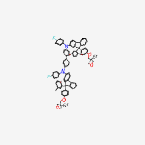 CCC1(COc2ccc(C3(c4cc(C)ccc4C)c4ccccc4-c4ccc(N(c5ccc(F)cc5)c5ccc(-c6ccc(N(c7ccc(F)cc7)c7ccc8c(c7)C(c7ccc(OCC9(CC)COC9)cc7)(c7cc(C)ccc7C)c7ccccc7-8)cc6)cc5)cc43)cc2)COC1